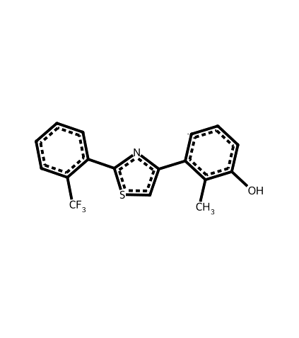 Cc1c(-c2csc(-c3ccccc3C(F)(F)F)n2)[c]ccc1O